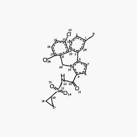 Cc1cncc(-c2ccc(C(=O)NS(=O)(=O)C3CC3)n2Cc2cc(Cl)ccc2Cl)c1